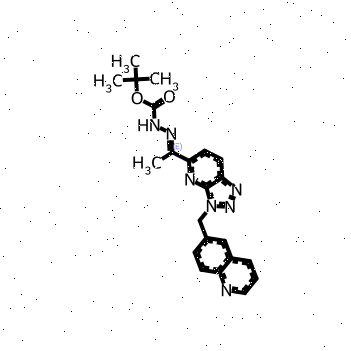 C/C(=N\NC(=O)OC(C)(C)C)c1ccc2nnn(Cc3ccc4ncccc4c3)c2n1